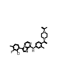 C=C(C)N1CCN(C(=C)c2ccc(Nc3nccn4c(-c5ccc(C)c(F)c5Cl)cnc34)cc2C)CC1